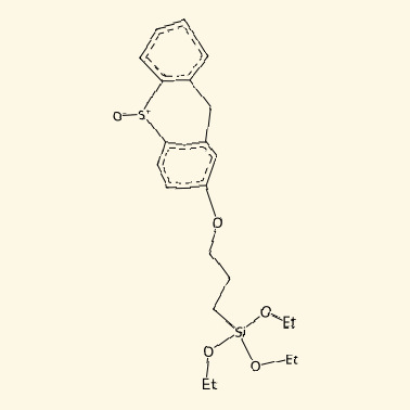 CCO[Si](CCCOc1ccc2c(c1)Cc1ccccc1[S+]2[O-])(OCC)OCC